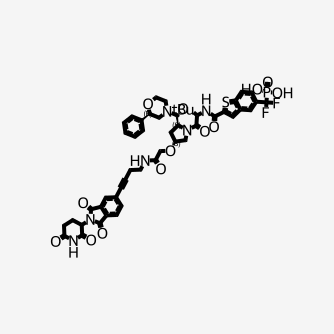 CC(C)(C)C(NC(=O)c1cc2cc(C(F)(F)P(=O)(O)O)ccc2s1)C(=O)N1C[C@@H](OCC(=O)NCCC#Cc2ccc3c(c2)C(=O)N(C2CCC(=O)NC2=O)C3=O)C[C@H]1C(=O)N1CCO[C@H](c2ccccc2)C1